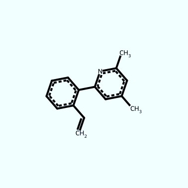 C=Cc1ccccc1-c1cc(C)cc(C)n1